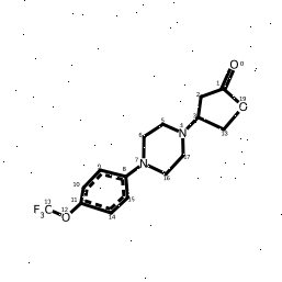 O=C1CC(N2CCN(c3ccc(OC(F)(F)F)cc3)CC2)CO1